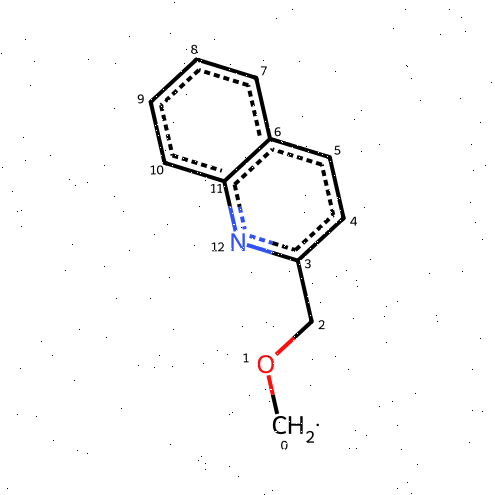 [CH2]OCc1ccc2ccccc2n1